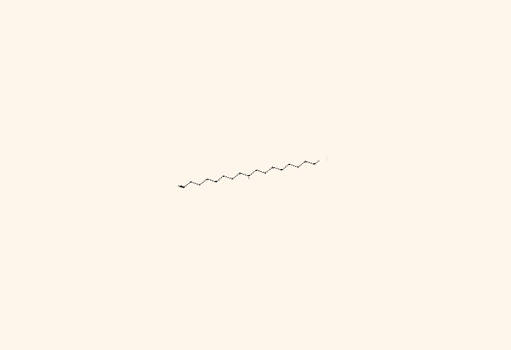 CCCCCCCCCCCCCCCCCC=O.[Ti]